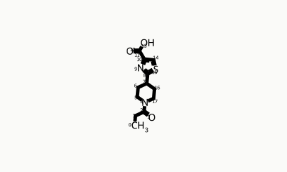 CCC(=O)N1CCC(c2nc(C(=O)O)cs2)CC1